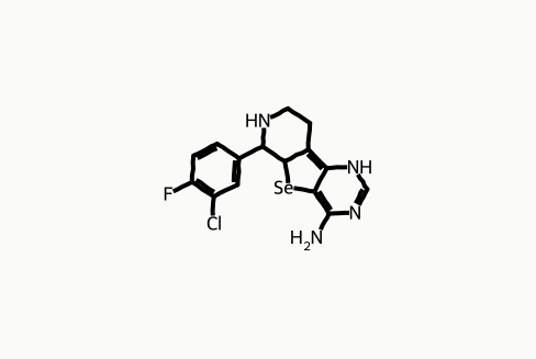 NC1=C2[Se]C3C(=C2NC=N1)CCNC3c1ccc(F)c(Cl)c1